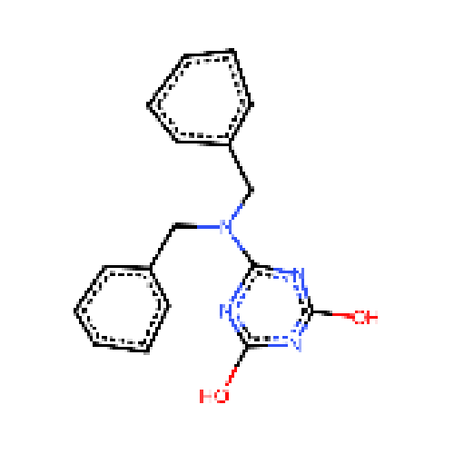 Oc1nc(O)nc(N(Cc2ccccc2)Cc2ccccc2)n1